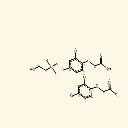 C[N+](C)(C)CCO.O=C(O)COc1ccc(Cl)cc1Cl.O=C([O-])COc1ccc(Cl)cc1Cl